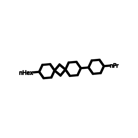 CCCCCCC1CCC2(CC1)CC1(CCC(C3CCC(CCC)CC3)CC1)C2